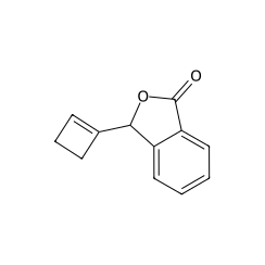 O=C1OC(C2=CCC2)c2ccccc21